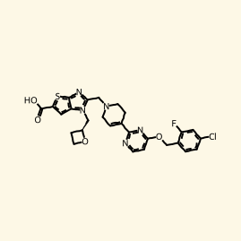 O=C(O)c1cc2c(nc(CN3CC=C(c4nccc(OCc5ccc(Cl)cc5F)n4)CC3)n2C[C@@H]2CCO2)s1